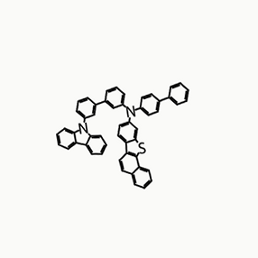 c1ccc(-c2ccc(N(c3cccc(-c4cccc(-n5c6ccccc6c6ccccc65)c4)c3)c3ccc4c(c3)sc3c5ccccc5ccc43)cc2)cc1